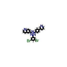 Brc1cc(Br)cc(-c2nc(-c3ccc(-c4cccnc4)cc3)nc(-c3ccc4ncccc4c3)n2)c1